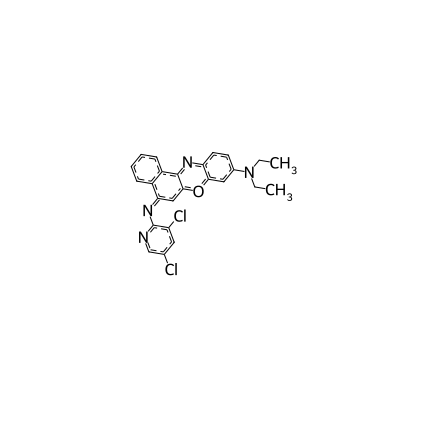 CCN(CC)c1ccc2nc3c4ccccc4c(=Nc4ncc(Cl)cc4Cl)cc-3oc2c1